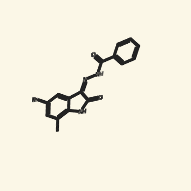 Cc1cc(Br)cc2c1NC(=O)/C2=N\NC(=O)c1ccccc1